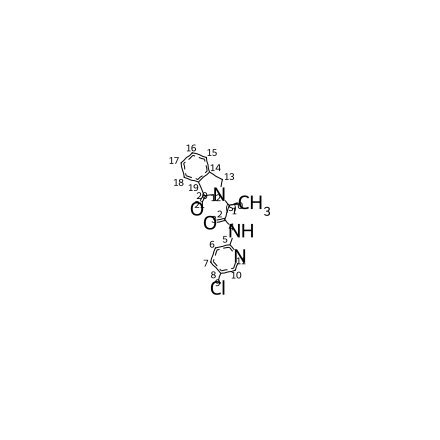 C[C@@H](C(=O)Nc1ccc(Cl)cn1)N1Cc2ccccc2C1=O